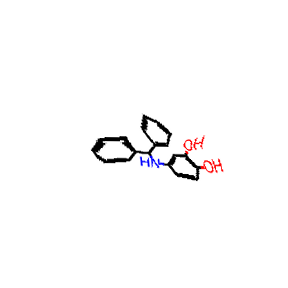 Oc1ccc(NC(c2ccccc2)c2ccccc2)cc1O